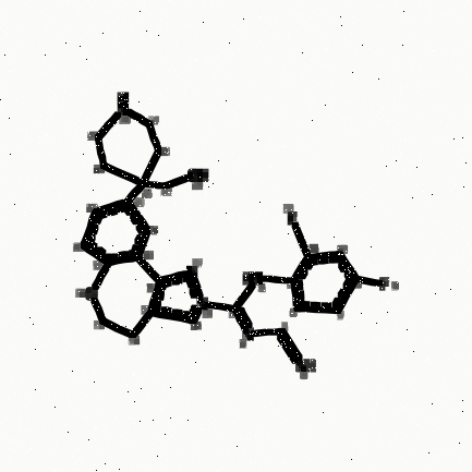 N=C/N=C(\Nc1ccc(F)cc1F)n1cc2c(n1)-c1cc(C3(CO)CCNCC3)ccc1OCC2